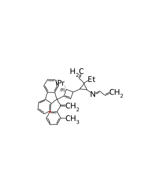 C=CC=NC1C(C2C=C(C3(C(=C)c4ccccc4C)c4ccccc4-c4ccccc43)[C@@H]2C(C)C)C1(C=C)CC